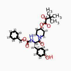 CC(C)(C)C(=O)C(=O)OC1CCN(C(=O)[C@H](Cc2ccc(O)cc2)NC(=O)OCc2ccccc2)CC1